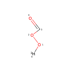 [2H]OOC=O